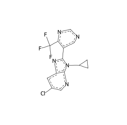 FC(F)(F)c1ncncc1-c1nc2cc(Cl)cnc2n1C1CC1